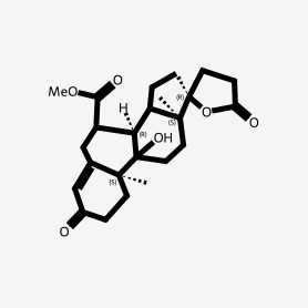 COC(=O)C1CC2=CC(=O)CC[C@]2(C)C2(O)CC[C@@]3(C)C(CC[C@@]34CCC(=O)O4)[C@H]12